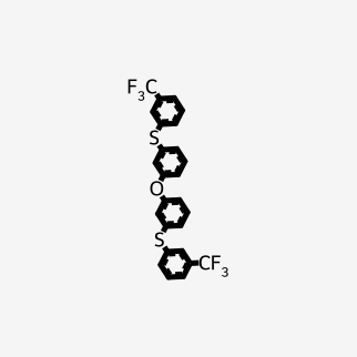 FC(F)(F)c1cccc(Sc2cccc(Oc3cccc(Sc4cccc(C(F)(F)F)c4)c3)c2)c1